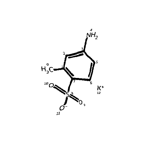 Cc1cc(N)ccc1S(=O)(=O)[O-].[K+]